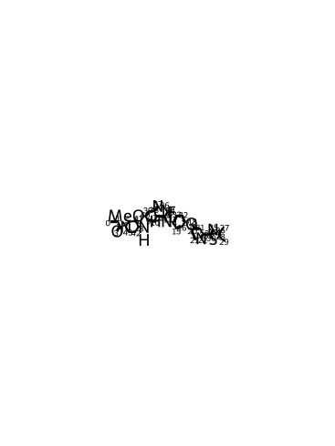 C=CC(=O)N1CCC(Nc2cc3c(Nc4ccc(Oc5ccnc(-c6nc(C)c(C)s6)c5)cc4F)ncnc3cc2OC)CC1